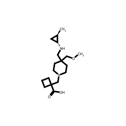 COCC1(CN[C@@H]2C[C@H]2C)CCN(CC2(C(=O)O)CCC2)CC1